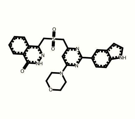 O=c1[nH]nc(CS(=O)(=O)Cc2cc(N3CCOCC3)nc(-c3ccc4[nH]ccc4c3)n2)c2ccccc12